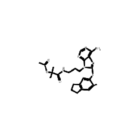 CC(=O)OC(C)(C)C(=O)NCCCn1c(Sc2cc3c(cc2I)CCC3)nc2c(N)ncnc21